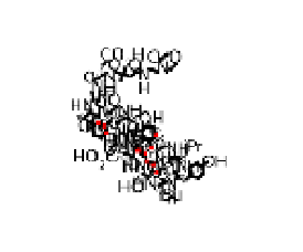 CC[C@H](C)[C@H](NC(=O)[C@H](CO)NC(=O)[C@H](Cc1ccc(O)cc1)NC(=O)[C@H](CC(=O)O)NC(=O)[C@H](CO)NC(=O)[C@@H](NC(=O)[C@H](Cc1ccccc1)NC(=O)[C@@H](NC(=O)CNC(=O)[C@H](CCC(=O)O)NC(=O)C(C)(C)CC(=O)NCCN1CCOCC1=O)[C@@H](C)O)[C@@H](C)O)C(=O)N[C@@H](Cc1ccc(O)cc1)C(=O)N[C@@H](CC(C)C)C(=O)N[C@@H](CC(=O)O)C(=O)N[C@H](C)CCCCN